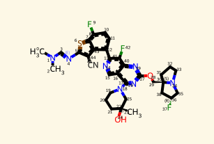 CN(C)/C=N/c1sc2c(F)ccc(-c3ncc4c(N5CCC[C@@](C)(O)C5)nc(OC[C@@]56CCCN5C[C@H](F)C6)nc4c3F)c2c1C#N